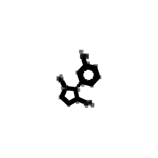 [2H]N1CCC(N)[C@H]1c1cccc(O)c1